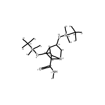 CNC(=O)C1C(O[Si](C)(C)C(C)(C)C)C2CCN1CC2O[Si](C)(C)C(C)(C)C